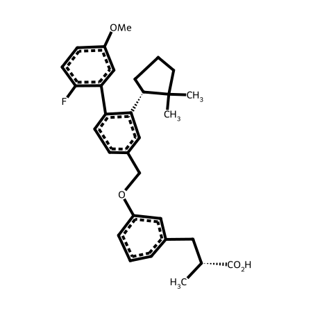 COc1ccc(F)c(-c2ccc(COc3cccc(C[C@@H](C)C(=O)O)c3)cc2[C@@H]2CCCC2(C)C)c1